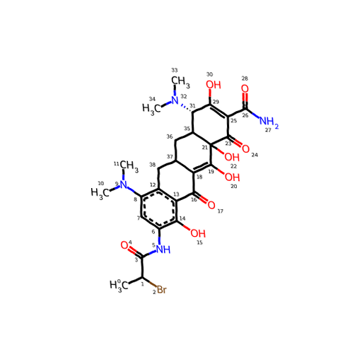 CC(Br)C(=O)Nc1cc(N(C)C)c2c(c1O)C(=O)C1=C(O)C3(O)C(=O)C(C(N)=O)=C(O)[C@@H](N(C)C)C3CC1C2